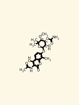 CO[C@@H]1[C@H](OC(N)=O)[C@H](O)C(Oc2ccc3c(O)c(NC(C)=O)c(=O)oc3c2C)OC1(C)C